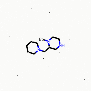 CCN1CCNCC1CN1CCCCC1